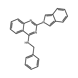 c1ccc(CNc2nc(-n3cc4ccccc4c3)nc3ccccc23)cc1